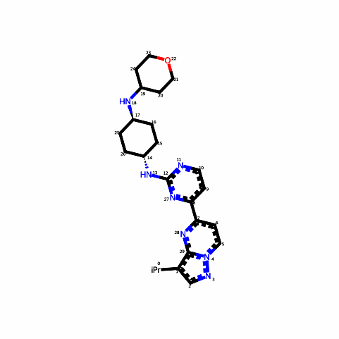 CC(C)c1cnn2ccc(-c3ccnc(N[C@H]4CC[C@H](NC5CCOCC5)CC4)n3)nc12